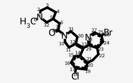 CN1CCCC(CC(=O)N2CCC(=C3c4ccc(Cl)cc4CCc4cc(Br)cnc43)CC2)C1